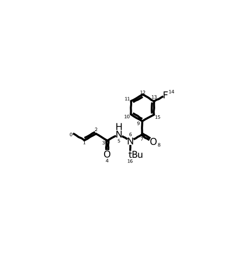 CC=CC(=O)NN(C(=O)c1cccc(F)c1)C(C)(C)C